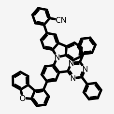 N#Cc1ccccc1-c1ccc2c(c1)c1ccccc1n2-c1ccc(-c2cccc3oc4ccccc4c23)cc1-c1nc(-c2ccccc2)nc(-c2ccccc2)n1